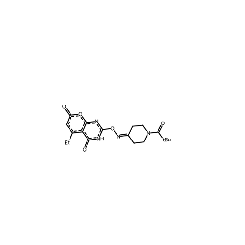 CCc1cc(=O)oc2nc(ON=C3CCN(C(=O)C(C)(C)C)CC3)[nH]c(=O)c12